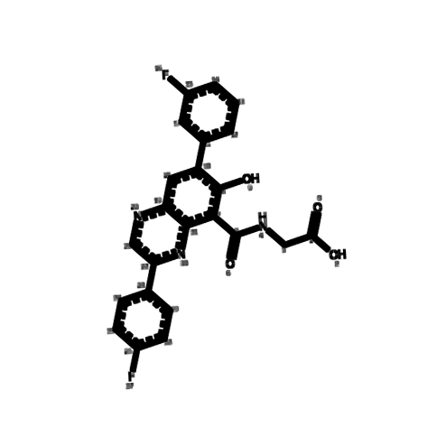 O=C(O)CNC(=O)c1c(O)c(-c2cccc(F)c2)cc2ncc(-c3ccc(F)cc3)nc12